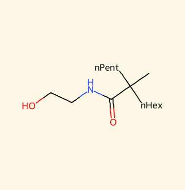 CCCCCCC(C)(CCCCC)C(=O)NCCO